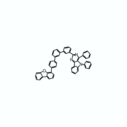 c1ccc(-c2nc(-c3cccc(-c4cccc(-c5ccc(-c6cccc7c6oc6ccccc67)cc5)c4)c3)nc3c4ccccc4n(-c4ccccc4)c23)cc1